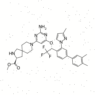 COC(=O)[C@@H]1CC2(CCN(c3cc(O[C@H](c4ccc(-c5ccc(C)c(C)c5)cc4-n4ccc(C)n4)C(F)(F)F)nc(N)n3)CC2)CN1